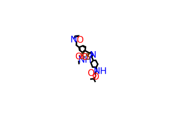 CCNS(=O)(=O)c1cc(Cc2ncco2)ccc1-c1cnc(C2CCC(NC(=O)OC(C)C)CC2)s1